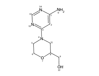 Nc1cc(N2CCOC(CO)C2)ncn1